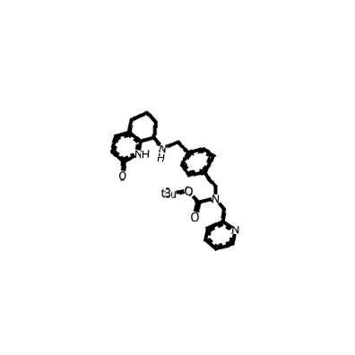 CC(C)(C)OC(=O)N(Cc1ccc(CNC2CCCc3ccc(=O)[nH]c32)cc1)Cc1ccccn1